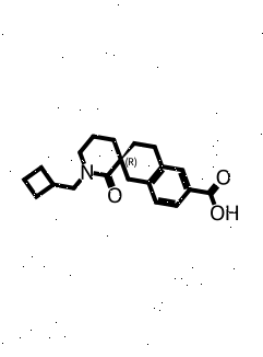 O=C(O)c1ccc2c(c1)CC[C@@]1(CCCN(CC3CCC3)C1=O)C2